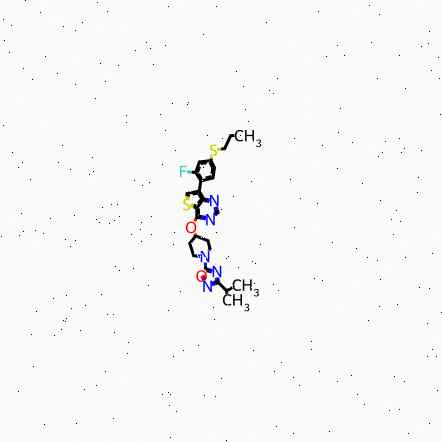 CCCSc1ccc(-c2csc3c(OC4CCN(c5nc(C(C)C)no5)CC4)ncnc23)c(F)c1